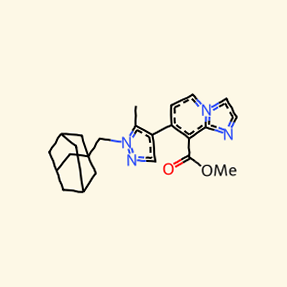 COC(=O)c1c(-c2cnn(CC34CC5CC(CC(C5)C3)C4)c2C)ccn2ccnc12